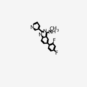 CNc1nc(-c2cccnc2)nc2ccc(-c3ccc(F)cc3F)cc12